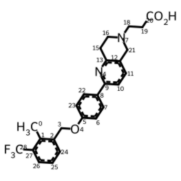 Cc1c(COc2ccc(-c3ccc4c(n3)CCN(CCC(=O)O)C4)cc2)cccc1C(F)(F)F